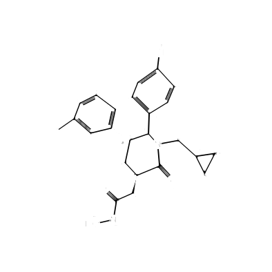 O=C(C[C@H]1C[C@H](c2cccc(Cl)c2)C(c2ccc(Cl)cc2)N(CC2CC2)C1=O)NO